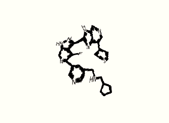 Fc1c(-c2cncc(CNCC3CCCC3)c2)ncc2[nH]nc(-c3nc4c(-c5ccsc5)cncc4[nH]3)c12